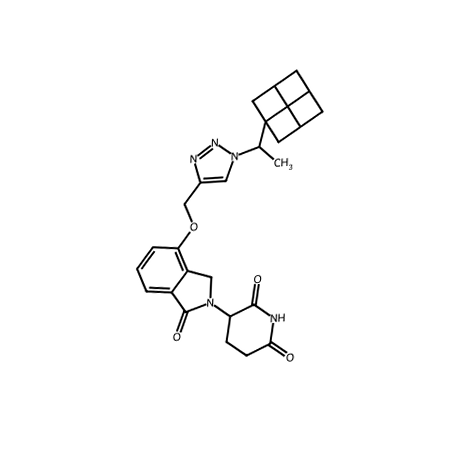 CC(n1cc(COc2cccc3c2CN(C2CCC(=O)NC2=O)C3=O)nn1)C12CC3CC4CC(C1)C432